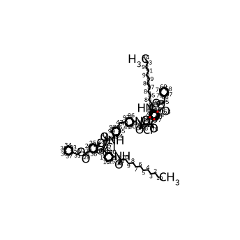 CCCCCCCCCCCC(=O)Nc1cccc(C(=O)C(Cl)(Oc2ccc(C(=O)OCc3ccccc3)cc2)C(=O)Nc2ccc(Cc3ccc(NC(=O)C(Cl)(Oc4ccc(C(=O)OCc5ccccc5)cc4)C(=O)c4cccc(NC(=O)CCCCCCCCCCC)c4)cc3)cc2)c1